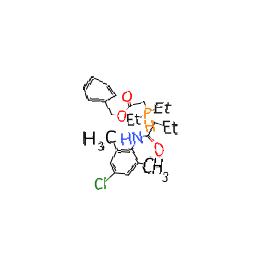 CCC(C(=O)Nc1c(C)cc(Cl)cc1C)[PH](CC)(CC)CC(=O)OCc1ccccc1